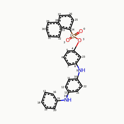 O=S(=O)(Oc1cccc(Nc2ccc(Nc3ccccc3)cc2)c1)c1cccc2ccccc12